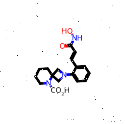 O=C(/C=C/c1ccccc1N1CC2(CCCCN2C(=O)O)C1)NO